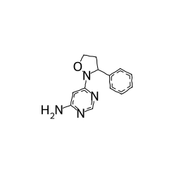 Nc1cc(N2OCCC2c2ccccc2)ncn1